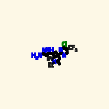 CCN(C(C)C)C(C)CC1(c2ncc(C(F)(F)F)c(Cl)n2)CC(c2cc(N)n[nH]2)C1